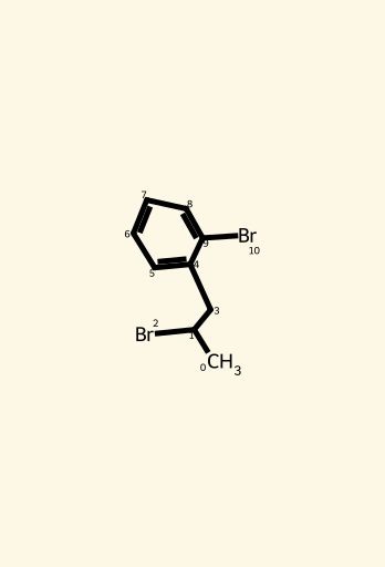 CC(Br)Cc1ccccc1Br